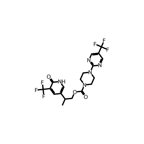 CC(COC(=O)N1CCN(c2ncc(C(F)(F)F)cn2)CC1)c1c[nH]c(=O)c(C(F)(F)F)c1